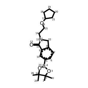 CC1(C)OB(c2ccc3c(c2)C(=O)N(CCOC2CCCC2)C3)OC1(C)C